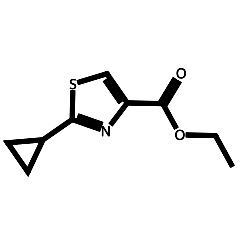 CCOC(=O)c1csc(C2CC2)n1